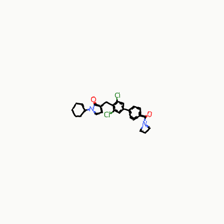 O=C(c1ccc(-c2cc(Cl)c(CC3CCN(C4CCCCC4)C3=O)c(Cl)c2)cc1)N1CCC1